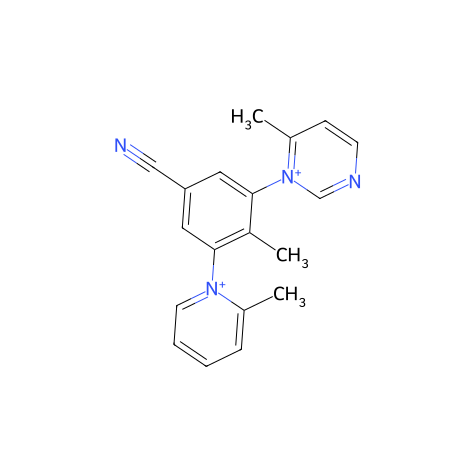 Cc1c(-[n+]2ccccc2C)cc(C#N)cc1-[n+]1cnccc1C